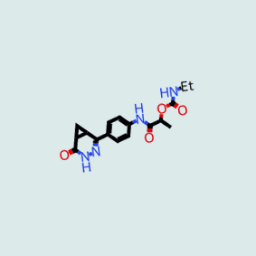 CCNC(=O)OC(C)C(=O)Nc1ccc(C2=NNC(=O)C3CC23)cc1